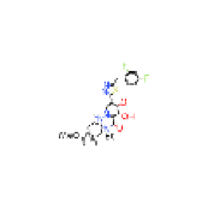 C=C(OC)[C@H]1CCC2(C[C@H]1C)N(CC)C(=O)c1c(O)c(=O)c(-c3nnc(Cc4ccc(F)cc4F)s3)cn1N2C